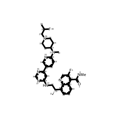 CNC(=O)c1c(F)cnc2c([C@H](C)CNc3cc(-c4ccc(N(C)C5CCN(CC(C)F)CC5)nc4)ncn3)cccc12